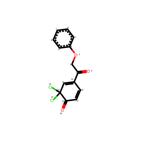 O=C(COc1ccccc1)C1=CC(Cl)(Cl)C(=O)C=C1